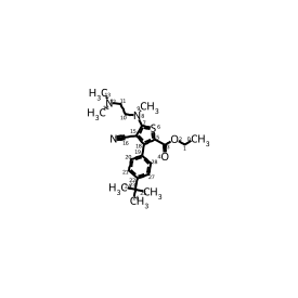 CCOC(=O)c1sc(N(C)CCN(C)C)c(C#N)c1-c1ccc(C(C)(C)C)cc1